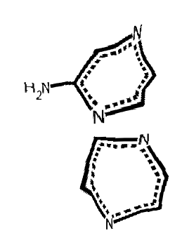 Nc1cnccn1.c1cnccn1